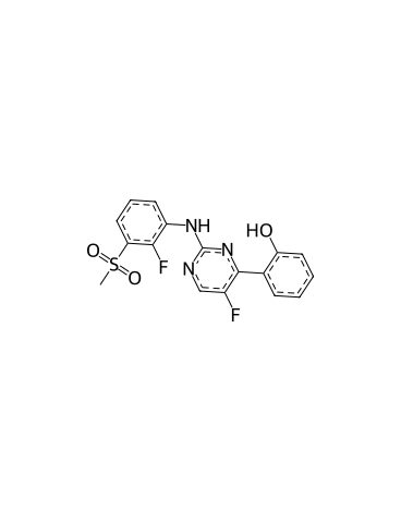 CS(=O)(=O)c1cccc(Nc2ncc(F)c(-c3ccccc3O)n2)c1F